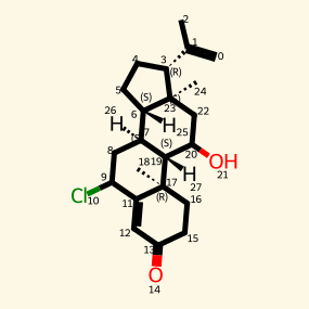 C=C(C)[C@H]1CC[C@H]2[C@@H]3CC(Cl)C4=CC(=O)CC[C@]4(C)[C@H]3C(O)C[C@]12C